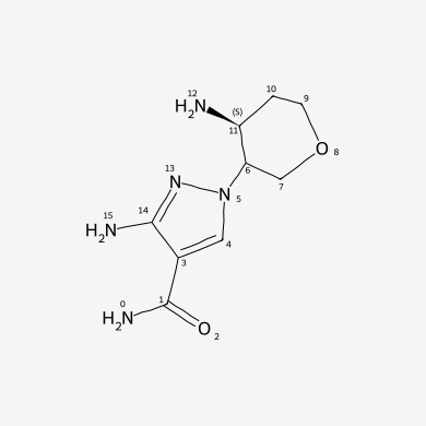 NC(=O)c1cn(C2COCC[C@@H]2N)nc1N